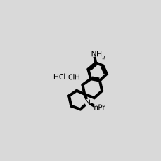 CCCN1CCCCC12CCc1ccc(N)cc1C2.Cl.Cl